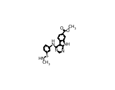 CNSc1cccc(Nc2ncnc3[nH]c4cc(C(=O)OC)ccc4c23)c1